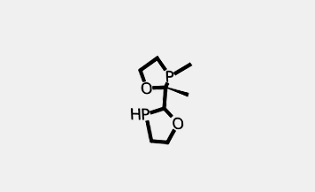 CP1CCO[C@@]1(C)C1OCCP1